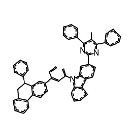 C=C/C(=C\C(=C)n1c2ccccc2c2ccc(-c3nc(-c4ccccc4)c(C)c(-c4ccccc4)n3)cc21)c1ccc2c(c1)[C@H](c1ccccc1)Cc1ccccc1-2